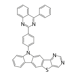 c1ccc(-c2nc(-c3ccc(-n4c5ccccc5c5cc6sc7cncnc7c6cc54)cc3)nc3ccccc23)cc1